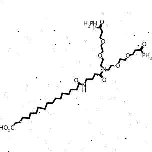 O=C(O)CCCCCCCCCCCCCCCCC(=O)NCCCC(=O)N(CCOCCOCCC(=O)P)CCOCCOCCC(=O)PP